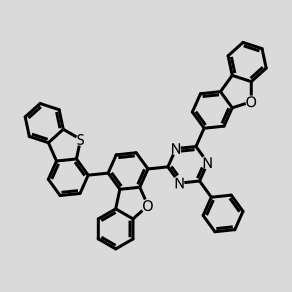 c1ccc(-c2nc(-c3ccc4c(c3)oc3ccccc34)nc(-c3ccc(-c4cccc5c4sc4ccccc45)c4c3oc3ccccc34)n2)cc1